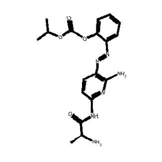 CC(C)OC(=O)Oc1ccccc1/N=N/c1ccc(NC(=O)[C@H](C)N)nc1N